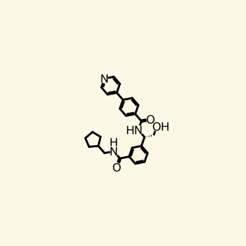 O=C(NCC1CCCC1)c1cccc([C@@H](CO)NC(=O)c2ccc(-c3ccncc3)cc2)c1